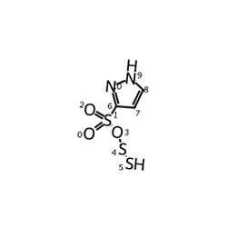 O=S(=O)(OSS)c1cc[nH]n1